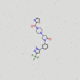 Cn1nc(C(F)(F)F)cc1-c1cccc(N2CC(N3CCN(C(=O)c4nccs4)CC3)CC2=O)c1